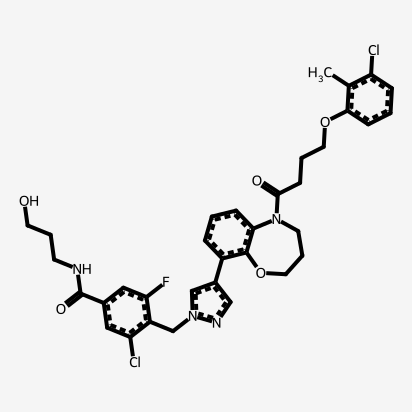 Cc1c(Cl)cccc1OCCCC(=O)N1CCCOc2c(-c3cnn(Cc4c(F)cc(C(=O)NCCCO)cc4Cl)c3)cccc21